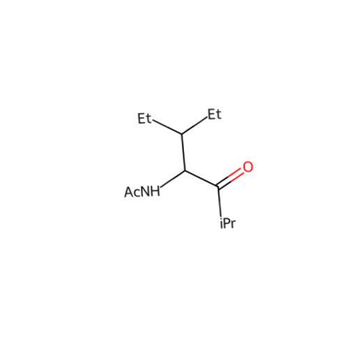 CCC(CC)C(NC(C)=O)C(=O)C(C)C